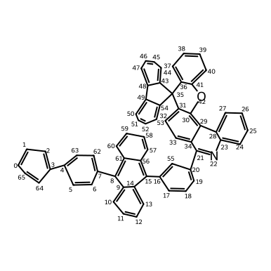 c1ccc(-c2ccc(-c3c4ccccc4c(-c4cccc(-c5nc6ccccc6c6c7c(ccc56)C5(c6ccccc6O7)c6ccccc6-c6ccccc65)c4)c4ccccc34)cc2)cc1